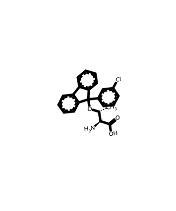 C[C@@H](OC1(c2cccc(Cl)c2)c2ccccc2-c2ccccc21)[C@H](N)C(=O)O